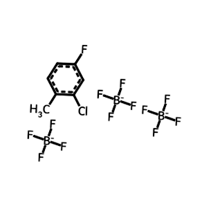 Cc1ccc(F)cc1Cl.F[B-](F)(F)F.F[B-](F)(F)F.F[B-](F)(F)F